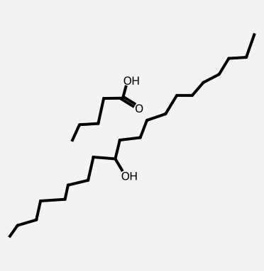 CCCCC(=O)O.CCCCCCCCCCCC(O)CCCCCCCC